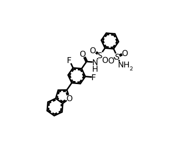 NS(=O)(=O)c1ccccc1S(=O)(=O)NC(=O)c1c(F)cc(-c2cc3ccccc3o2)cc1F